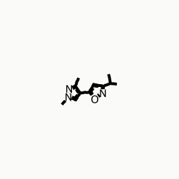 Cc1nn(C)cc1-c1cc(C(C)C)no1